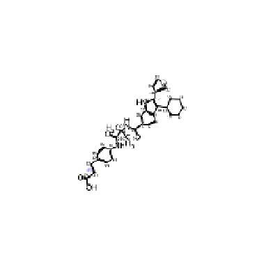 CC(C)(NC(=O)c1ccc2c(C3CCCCC3)c(-c3ccoc3)[nH]c2c1)C(=O)Nc1ccc(/C=C/C(=O)O)cc1